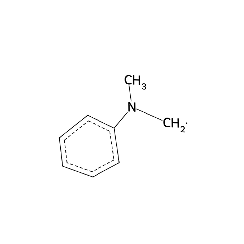 [CH2]N(C)c1ccccc1